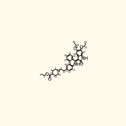 CCOC(=O)C1CCN(CCc2ccc(N/C(=C3\C(=O)Nc4cc(OCC)c(OCC)cc43)c3ccccc3)cc2)CC1